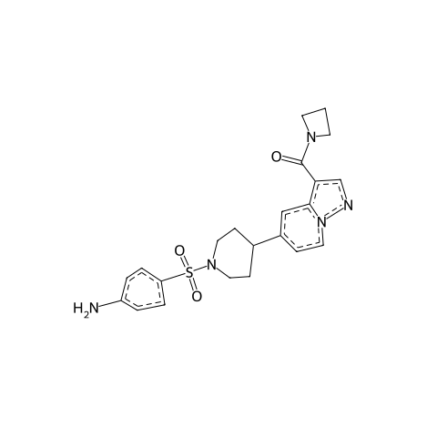 Nc1ccc(S(=O)(=O)N2CCC(c3ccn4ncc(C(=O)N5CCC5)c4c3)CC2)cc1